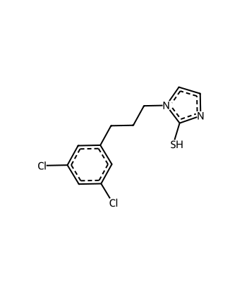 Sc1nccn1CCCc1cc(Cl)cc(Cl)c1